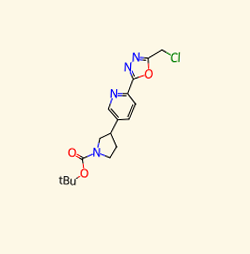 CC(C)(C)OC(=O)N1CCC(c2ccc(-c3nnc(CCl)o3)nc2)C1